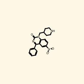 O=c1nc(-c2ccccc2)c2cc([N+](=O)[O-])ccc2n1CC1CCNCC1